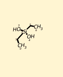 CC[Si](O)(O)CC